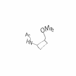 COC1CCC1NC(C)=O